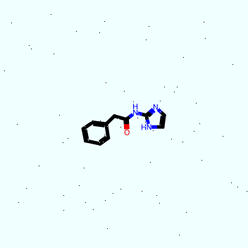 O=C(Cc1ccccc1)Nc1ncc[nH]1